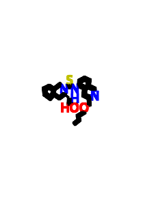 CCCCOCc1cc2c(NC(=S)N3Cc4ccccc4C[C@H]3CCO)cccc2cn1